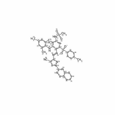 Cc1ccc(S(=O)(=O)c2nc(NS(C)(=O)=O)nc(Nc3c(C)cc(C)cc3C)c2N=Nc2nn(-c3ncc4ccccc4n3)cc2C#N)cc1